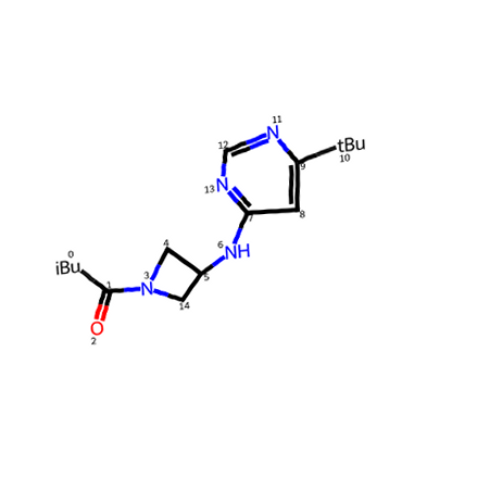 CCC(C)C(=O)N1CC(Nc2cc(C(C)(C)C)ncn2)C1